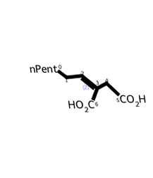 CCCCCC/C=C(/CC(=O)O)C(=O)O